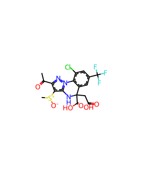 CC(=O)c1nn2c(c1[S+](C)[O-])NC(CC(=O)O)(C(=O)O)c1cc(C(F)(F)F)cc(Cl)c1-2